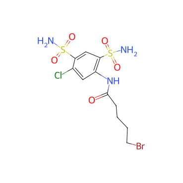 NS(=O)(=O)c1cc(S(N)(=O)=O)c(NC(=O)CCCCBr)cc1Cl